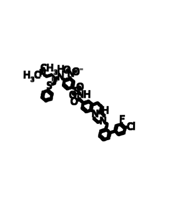 CN(C)CC[C@H](CSc1ccccc1)Nc1ccc(S(=O)(=O)NC(=O)c2ccc3c(c2)CC[C@@H]2CN(Cc4ccccc4-c4ccc(Cl)c(F)c4)CCN32)cc1[N+](=O)[O-]